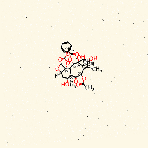 COC(=O)O[C@@]12CO[C@@H]1CC(O)[C@@]1(C)C(=O)[C@H](OC(C)=O)C3=C(C)[C@@H](O)C[C@@](O)([C@@H](OC(=O)c4ccccc4)C12)C3(C)C